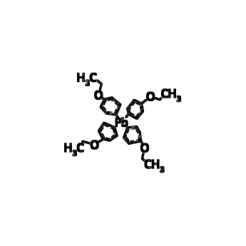 CCOc1cc[c]([Pb]([c]2ccc(OCC)cc2)([c]2ccc(OCC)cc2)[c]2ccc(OCC)cc2)cc1